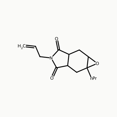 C=CCN1C(=O)C2CC3OC3(CCC)CC2C1=O